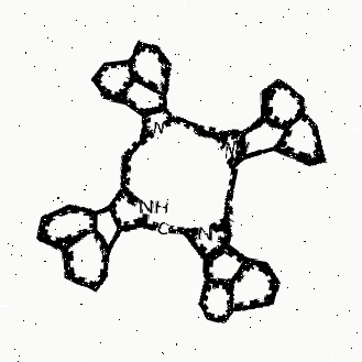 c1cc2c3c(cccc3c1)-c1c-2c2cc3nc(cc4[nH]c(cc5nc(cc1[nH]2)c1c2cccc6cccc(c5=1)c62)c1c4-c2cccc4cccc-1c24)c1c2cccc4cccc(c3=1)c42